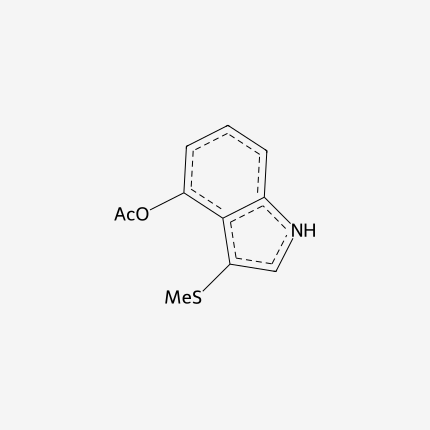 CSc1c[nH]c2cccc(OC(C)=O)c12